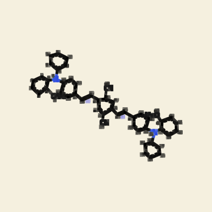 COc1ccccc1N(c1ccccc1)c1ccc(/C=C/c2cc(C#N)c(/C=C/c3ccc(N(c4ccccc4)c4ccccc4OC)cc3)cc2C#N)cc1